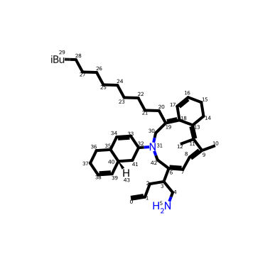 C=CCC(CN)/C1=C/C=C(C)/C(C)=C2\CCC=C\C2=C(/CCCCCCCCCC(C)CC)CN(C2C=CC3CCC=C[C@H]3C2)C1